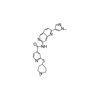 CN1CCC(Sc2cc(C(=O)Nc3cc4nc(-c5cnn(C)c5)ccc4cn3)ccn2)CC1